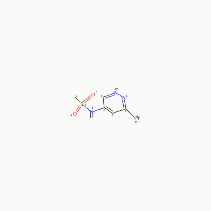 CC(C)c1cc(NS(C)(=O)=O)cnn1